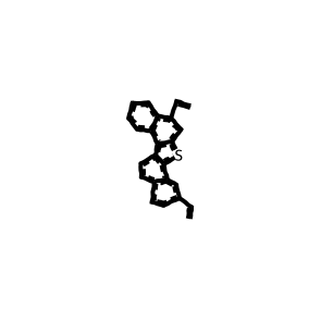 C=Cc1ccc2ccc3c(sc4cc(C=C)c5ccccc5c43)c2c1